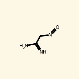 N=C(N)CN=O